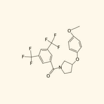 COc1ccc(OC2CCN(C(=O)c3cc(C(F)(F)F)cc(C(F)(F)F)c3)C2)cc1